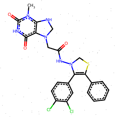 Cn1c2c(c(=O)[nH]c1=O)N(CC(=O)NN1CSC(c3ccccc3)=C1c1ccc(Cl)c(Cl)c1)CN2